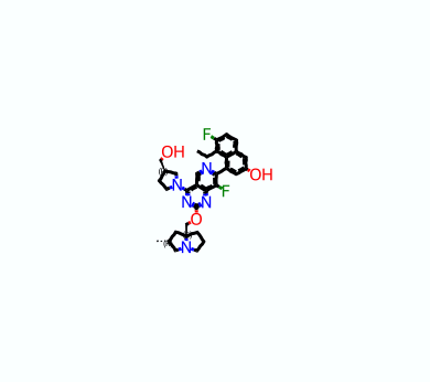 CCc1c(F)ccc2cc(O)cc(-c3ncc4c(N5CC[C@@H](CO)C5)nc(OC[C@@]56CCCN5C[C@H](C)C6)nc4c3F)c12